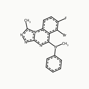 Cc1nnc2nc(N(C)c3ccccc3)c3c(Br)c(F)ccc3n12